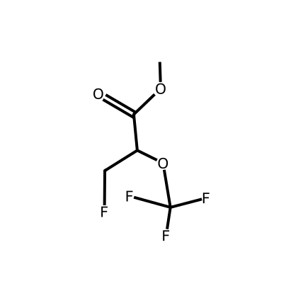 COC(=O)C(CF)OC(F)(F)F